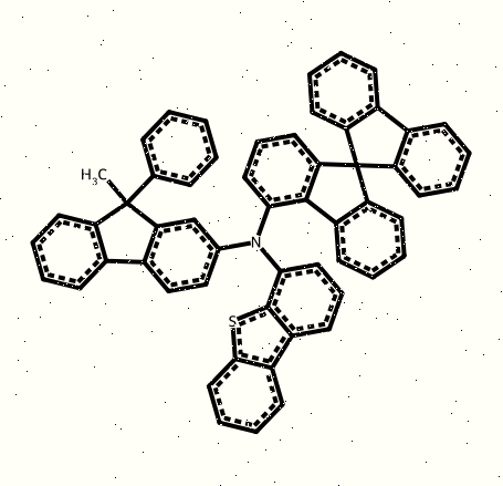 CC1(c2ccccc2)c2ccccc2-c2ccc(N(c3cccc4c3-c3ccccc3C43c4ccccc4-c4ccccc43)c3cccc4c3sc3ccccc34)cc21